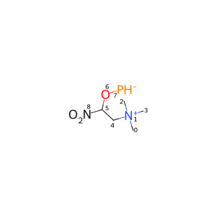 C[N+](C)(C)CC(O[PH-])[N+](=O)[O-]